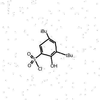 CCC(C)c1cc(C(C)(C)C)c(O)c(S(=O)(=O)Cl)c1